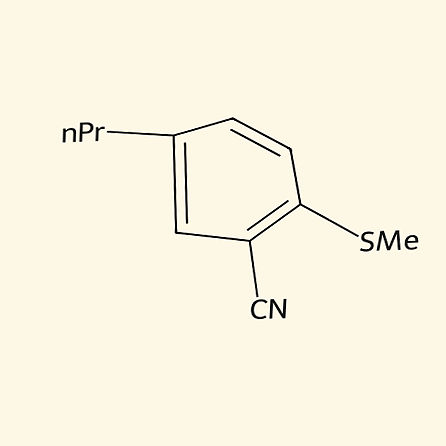 CCCc1ccc(SC)c(C#N)c1